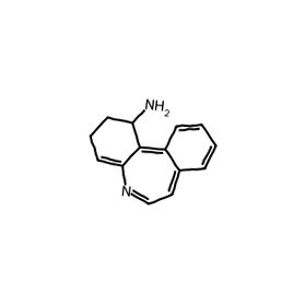 NC1CCC=C2N=CC=c3ccccc3=C21